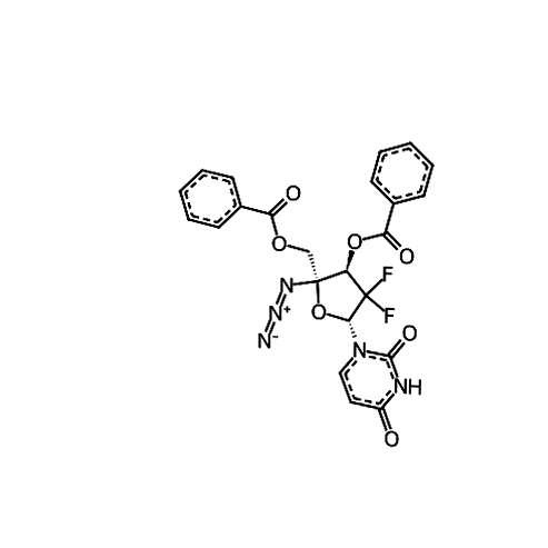 [N-]=[N+]=N[C@]1(COC(=O)c2ccccc2)O[C@@H](n2ccc(=O)[nH]c2=O)C(F)(F)[C@@H]1OC(=O)c1ccccc1